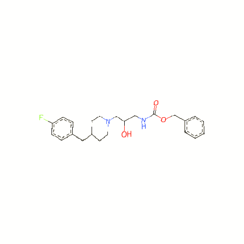 O=C(NCC(O)CN1CCC(Cc2ccc(F)cc2)CC1)OCc1ccccc1